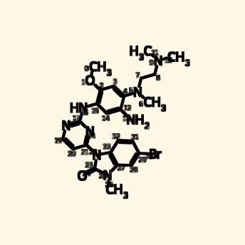 COc1cc(N(C)CCN(C)C)c(N)cc1Nc1nccc(-n2c(=O)n(C)c3cc(Br)ccc32)n1